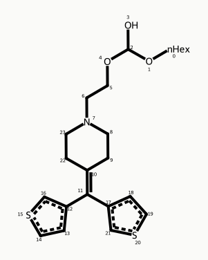 CCCCCCOC(O)OCCN1CCC(=C(c2ccsc2)c2ccsc2)CC1